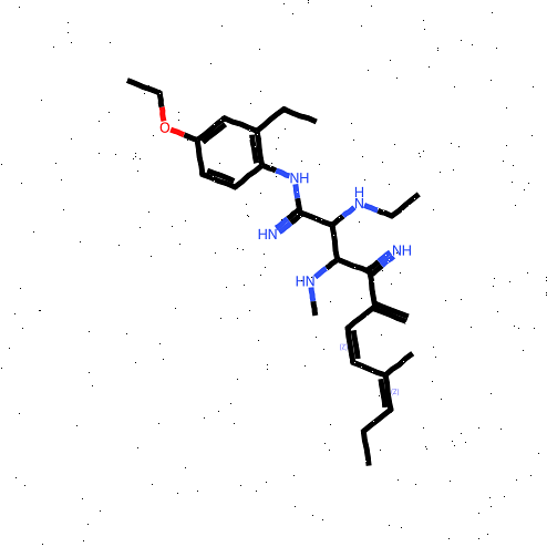 C=C(/C=C\C(C)=C/CC)C(=N)C(NC)C(NCC)C(=N)Nc1ccc(OCC)cc1CC